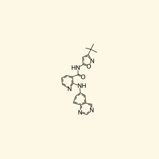 CC(C)(C)c1cc(NC(=O)c2cccnc2Nc2ccc3ncncc3c2)on1